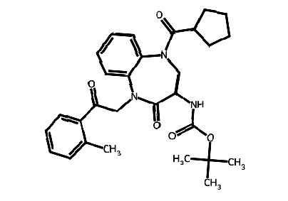 Cc1ccccc1C(=O)CN1C(=O)C(NC(=O)OC(C)(C)C)CN(C(=O)C2CCCC2)c2ccccc21